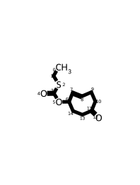 CCSC(=O)OC1/C=C/CCC(=O)CC1